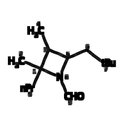 CCCC1(C)C(C)C(CC(C)(C)C)N1C=O